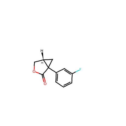 O=C1OC[C@@H]2CC12c1cccc(F)c1